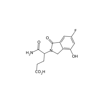 NC(=O)C(CCC(=O)O)N1Cc2c(O)cc(F)cc2C1=O